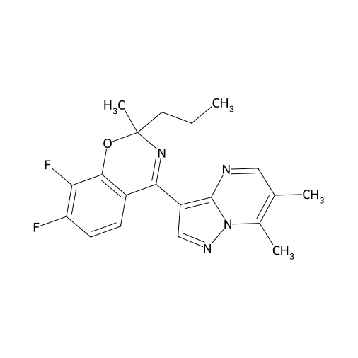 CCCC1(C)N=C(c2cnn3c(C)c(C)cnc23)c2ccc(F)c(F)c2O1